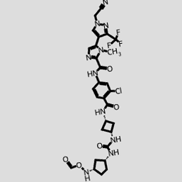 Cn1c(-c2cn(CC#N)nc2C(F)(F)F)cnc1C(=O)Nc1ccc(C(=O)N[C@H]2C[C@@H](NC(=O)N[C@@H]3CC[C@H](NOC=O)C3)C2)c(Cl)c1